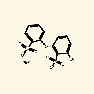 O=S(=O)([O-])c1ccccc1O.O=S(=O)([O-])c1ccccc1O.[Pb+2]